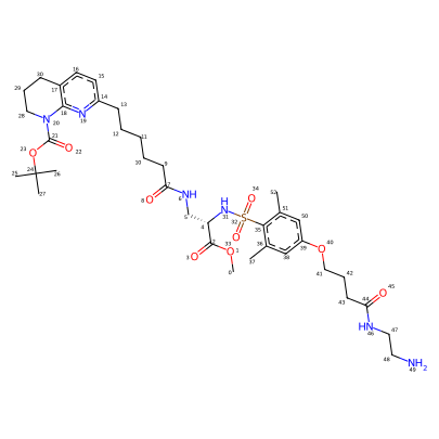 COC(=O)[C@H](CNC(=O)CCCCCc1ccc2c(n1)N(C(=O)OC(C)(C)C)CCC2)NS(=O)(=O)c1c(C)cc(OCCCC(=O)NCCN)cc1C